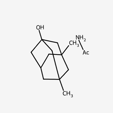 CC(N)=O.CC12CC3CC(C)(C1)CC(O)(C3)C2